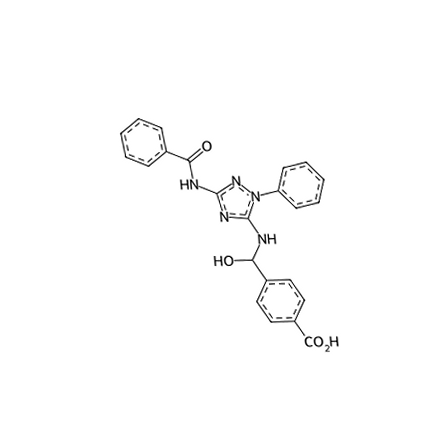 O=C(O)c1ccc(C(O)Nc2nc(NC(=O)c3ccccc3)nn2-c2ccccc2)cc1